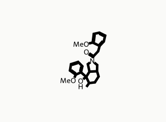 COc1ccccc1CC(=O)N1CC2CCC(C)C(O)(c3ccccc3OC)C2C1